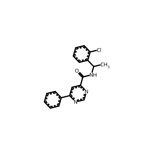 CC(NC(=O)c1cc(-c2ccccc2)ncn1)c1ccccc1Cl